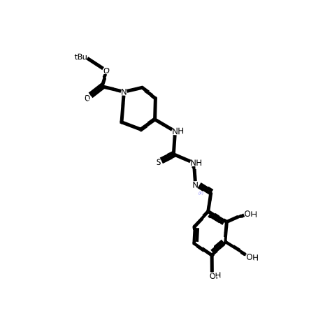 CC(C)(C)OC(=O)N1CCC(NC(=S)N/N=C/c2ccc(O)c(O)c2O)CC1